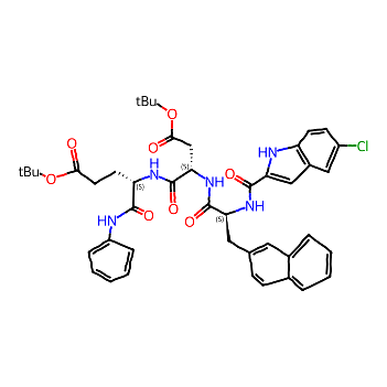 CC(C)(C)OC(=O)CC[C@H](NC(=O)[C@H](CC(=O)OC(C)(C)C)NC(=O)[C@H](Cc1ccc2ccccc2c1)NC(=O)c1cc2cc(Cl)ccc2[nH]1)C(=O)Nc1ccccc1